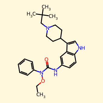 CCON(C(=O)Nc1ccc2[nH]cc(C3CCN(CC(C)(C)C)CC3)c2c1)c1ccccc1